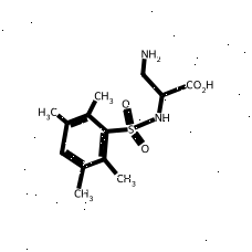 Cc1cc(C)c(C)c(S(=O)(=O)NC(CN)C(=O)O)c1C